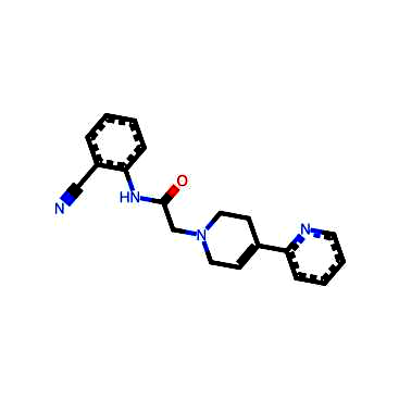 N#Cc1ccccc1NC(=O)CN1CC=C(c2ccccn2)CC1